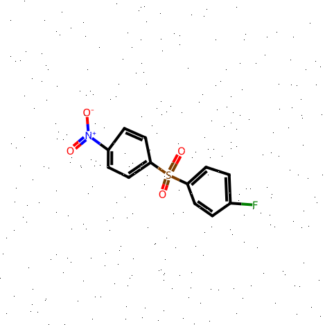 O=[N+]([O-])c1ccc(S(=O)(=O)c2ccc(F)cc2)cc1